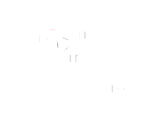 CCCCCCCCCCCCCCCCCCc1c(C)cc(C)c(O)c1C